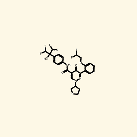 O=C(Nc1ccc(C(O)(C(F)F)C(F)F)cc1)c1cn(C2CCOC2)nc(-c2ccccc2OCC(F)F)c1=O